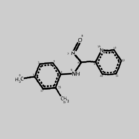 Cc1ccc(NC(N=O)c2ccccn2)c(C)c1